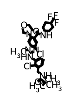 Cn1c(Nc2c(Cl)ccc(CNC(=O)C(C)(C)C)c2Cl)nc2cc(C(=O)NC3CCC(C(F)(F)F)CC3)c(N3CCOCC3)cc21